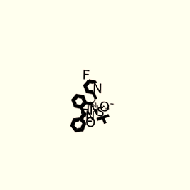 CC(C)(C)[S+]([O-])N[C@@H](Cc1ccc(F)cn1)c1ccccc1-c1noc2ccccc12